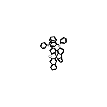 c1ccc(N(c2ccccc2)c2ccc3c(c2)Oc2cc4ccccc4cc2C32c3ccccc3-c3ccc(N(c4ccccc4)c4ccccc4)cc32)cc1